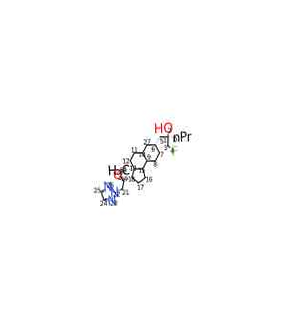 CCC[C@](O)(CF)C[C@@H]1CCC2C(CC[C@@]3(C)C2CC[C@@H]3C(=O)Cn2nccn2)C1